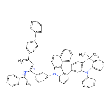 C=C/C(=N\C(=C/C(=C)c1ccc(-c2ccccc2)cc1)c1cccc(-n2c3cccc(-c4ccc5c(c4)N(c4ccccc4)c4ccccc4C5(C)C)c3c3c4ccccc4ccc32)c1)c1ccccc1